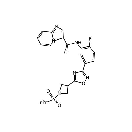 CCCS(=O)(=O)N1CC(c2nc(-c3ccc(F)c(NC(=O)c4cnc5ccccn45)c3)no2)C1